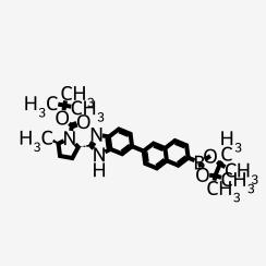 C[C@@H]1CC[C@@H](c2nc3ccc(-c4ccc5cc(B6OC(C)(C)C(C)(C)O6)ccc5c4)cc3[nH]2)N1C(=O)OC(C)(C)C